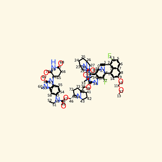 C#Cc1c(F)ccc2cc(OCOC)cc(-c3ncc4c(N5CC6CCC(C5)N6C(=O)OC(C)(C)C)nc(OC[C@@]56CCCN5[C@H](COC(=O)N(CC)c5ccc7c(c5)n(C)c(=O)n7C5CCC(=O)NC5=O)CC6)nc4c3F)c12